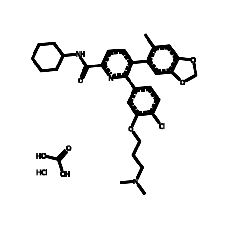 Cc1cc2c(cc1-c1ccc(C(=O)NC3CCCCC3)nc1-c1ccc(Cl)c(OCCCN(C)C)c1)OCO2.Cl.O=C(O)O